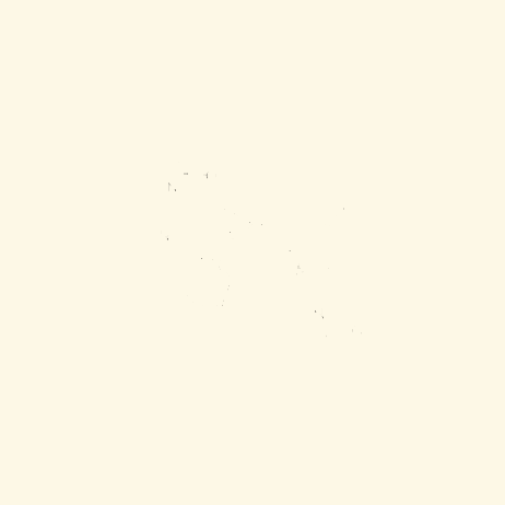 CC(=O)N1CCN(C(C)C)C(c2ccccc2C2CC2CC(C)(C)N2CCN(C(C)=O)CC2c2ccccc2C(C)C)C1